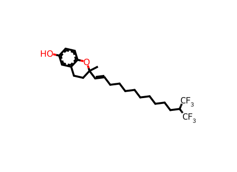 CC1(/C=C/CCCCCCCCCC(C(F)(F)F)C(F)(F)F)CCc2cc(O)ccc2O1